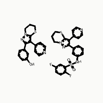 O=S(=O)(Nc1cccc(-c2nn3c(c2-c2ccncc2)SCCC3)c1)c1cc(F)ccc1F.Oc1cccc(-c2nn3c(c2-c2ccncc2)SCCC3)c1